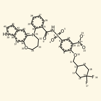 O=C(NS(=O)(=O)c1ccc(OCC2CCC(F)(F)CC2)c([N+](=O)[O-])c1)c1ccccc1N1CCCOc2nc3[nH]ccc3cc21